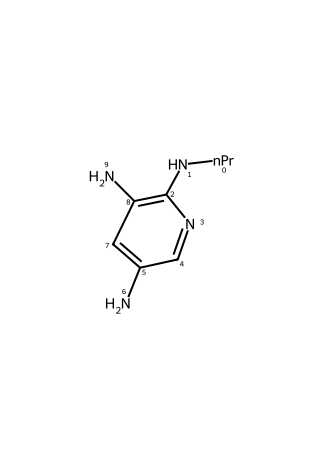 [CH2]CCNc1ncc(N)cc1N